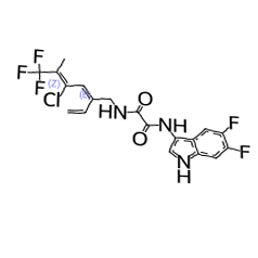 C=C/C(=C\C(Cl)=C(/C)C(F)(F)F)CNC(=O)C(=O)Nc1c[nH]c2cc(F)c(F)cc12